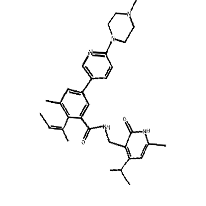 C/C=C(/C)c1c(C)cc(-c2ccc(N3CCN(C)CC3)nc2)cc1C(=O)NCc1c(C(C)C)cc(C)[nH]c1=O